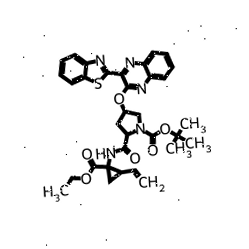 C=CC1CC1(NC(=O)C1CC(Oc2nc3ccccc3nc2-c2nc3ccccc3s2)CN1C(=O)OC(C)(C)C)C(=O)OCC